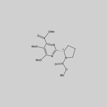 COC(=O)c1nc([C@@H]2CCCN2C(=O)OC(C)(C)C)nc(OC)c1OC